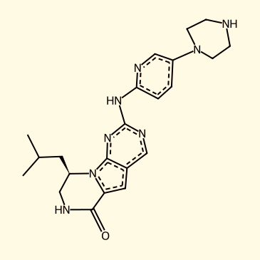 CC(C)C[C@@H]1CNC(=O)c2cc3cnc(Nc4ccc(N5CCNCC5)cn4)nc3n21